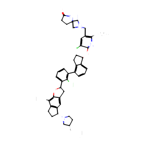 COc1nc(O[C@H]2CCc3c(-c4cccc(C5Cc6cc7c(c(C(F)(F)F)c6O5)CC[C@H]7N5CC[C@@H](C(=O)O)C5)c4Cl)cccc32)c(Cl)cc1CN1CC2(CCC(=O)N2)C1